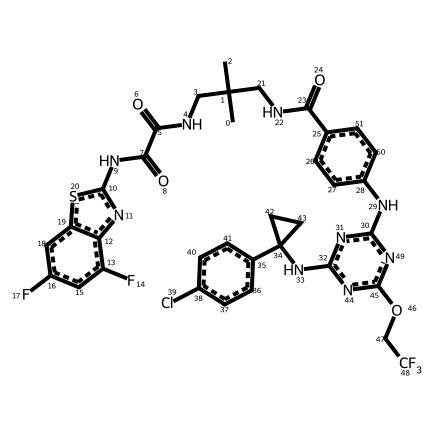 CC(C)(CNC(=O)C(=O)Nc1nc2c(F)cc(F)cc2s1)CNC(=O)c1ccc(Nc2nc(NC3(c4ccc(Cl)cc4)CC3)nc(OCC(F)(F)F)n2)cc1